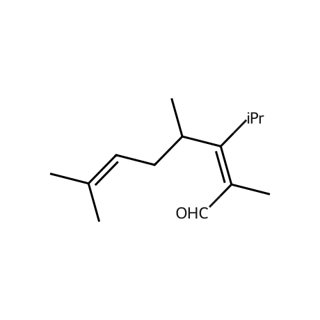 CC(C)=CCC(C)C(=C(C)C=O)C(C)C